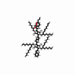 CCCCCCCCC(CCCCC)CN1C(=O)C2=C(c3cc4sc(C5=C6C(=O)N(CC(CCCCCC)CCCCCCCC)C(c7cc8ccccc8s7)=C6C(=O)N5CC(CCCCCC)CCCCCCCC)cc4s3)N(CC(CCCCCC)CCCCCCCC)C(=O)C2=C1c1cc2ccccc2s1